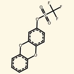 O=S(=O)(Oc1ccc2c(c1)Oc1ccccc1O2)C(F)(F)F